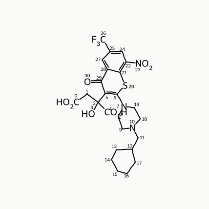 O=C(O)CC(O)(C(=O)O)c1c(N2CCN(CC3CCCCC3)CC2)sc2c([N+](=O)[O-])cc(C(F)(F)F)cc2c1=O